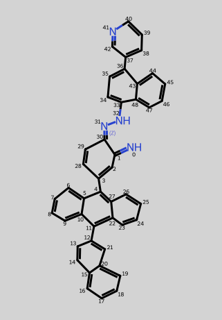 N=C1C=C(c2c3ccccc3c(-c3ccc4ccccc4c3)c3ccccc23)C=C/C1=N/Nc1ccc(-c2cccnc2)c2ccccc12